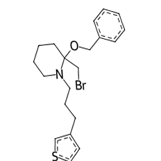 BrCC1(OCc2ccccc2)CCCCN1CCCc1ccsc1